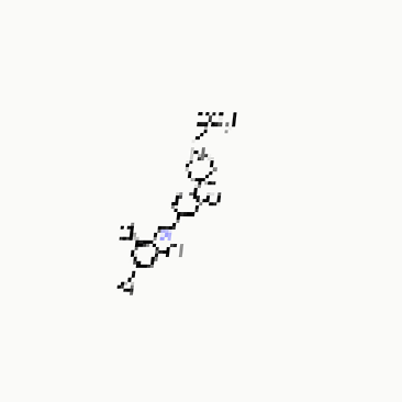 O=C(O)CCN1CCC2(CC1)COc1cc(/C=C/c3c(Cl)cc(C4CC4)cc3Cl)ccc12